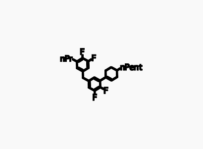 CCCCCC1CC=C(c2cc(Cc3cc(F)c(F)c(CCC)c3)cc(F)c2F)CC1